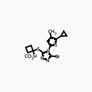 Cc1cc(-n2c(Br)nnc2SC2(C(=O)O)CCC2)sc1C1CC1